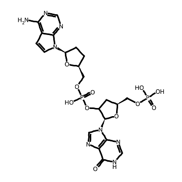 Nc1ncnc2c1ccn2[C@H]1CC[C@@H](COP(=O)(O)OC2C[C@@H](COP(=O)(O)O)O[C@H]2n2cnc3c(=O)[nH]cnc32)O1